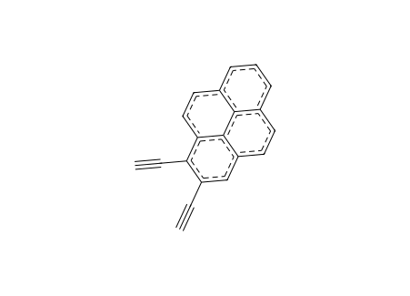 C#Cc1cc2ccc3cccc4ccc(c1C#C)c2c34